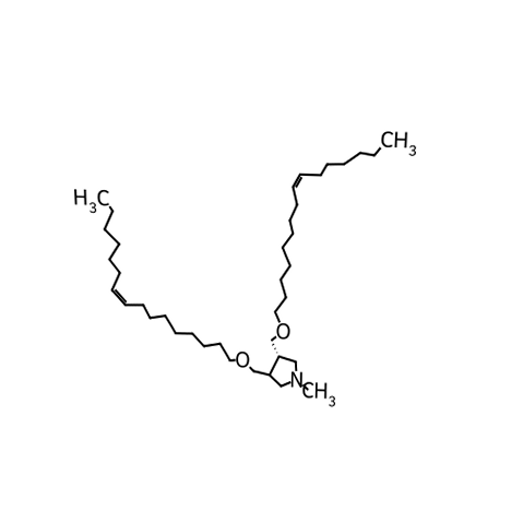 CCCCCC/C=C\CCCCCCCCOCC1CN(C)C[C@H]1COCCCCCCCC/C=C\CCCCCC